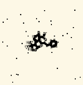 CC(C)(C)C(C(=O)O)c1c[nH]c(=O)c([N+](=O)[O-])c1CCCc1ccccc1